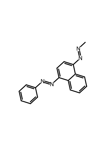 CN=Nc1ccc(N=Nc2ccccc2)c2ccccc12